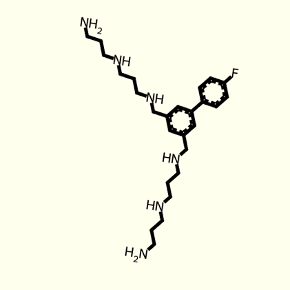 NCCCNCCCNCc1cc(CNCCCNCCCN)cc(-c2ccc(F)cc2)c1